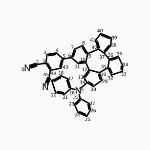 N#Cc1ccc(-c2ccc3c(c2)-c2cc(N(c4ccccc4)c4ccccc4)ccc2-c2ccccc2-c2ccccc2-3)cc1C#N